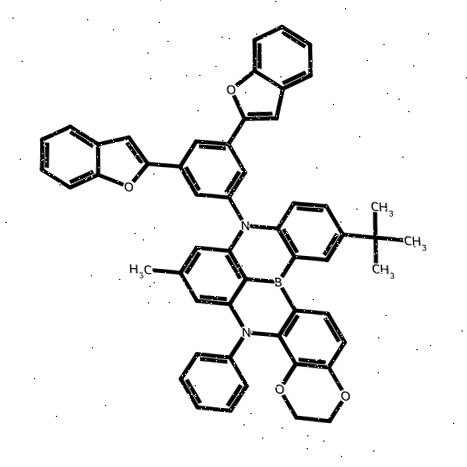 Cc1cc2c3c(c1)N(c1ccccc1)c1c(ccc4c1OCCO4)B3c1cc(C(C)(C)C)ccc1N2c1cc(-c2cc3ccccc3o2)cc(-c2cc3ccccc3o2)c1